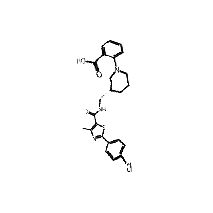 Cc1nc(-c2ccc(Cl)cc2)sc1C(=O)NC[C@H]1CCCN(c2ccccc2C(=O)O)C1